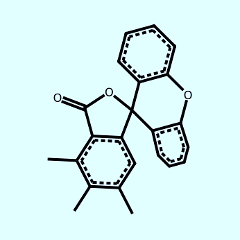 Cc1cc2c(c(C)c1C)C(=O)OC21c2ccccc2Oc2ccccc21